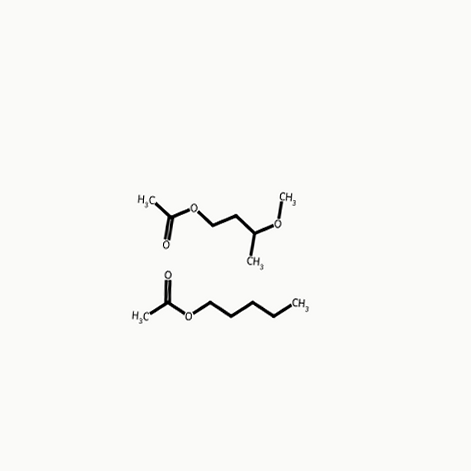 CCCCCOC(C)=O.COC(C)CCOC(C)=O